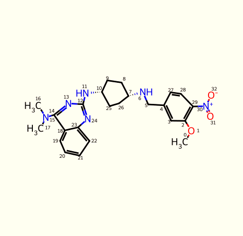 COc1cc(CN[C@H]2CC[C@@H](Nc3nc(N(C)C)c4ccccc4n3)CC2)ccc1[N+](=O)[O-]